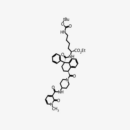 CCOC(=O)[C@H](CCCCNC(=O)OC(C)(C)C)NC(=O)[C@@]1(c2ccccc2)CC[C@H](C(=O)N2CCC(NC(=O)c3cccn(C)c3=O)CC2)c2ccccc21